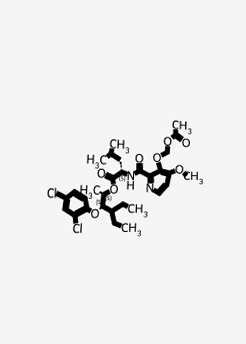 CCC(CC)[C@H](Oc1ccc(Cl)cc1Cl)[C@H](C)OC(=O)[C@H](CC(C)C)NC(=O)c1nccc(OC)c1OCOC(C)=O